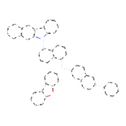 c1ccc(-c2ccc3cc(N(c4ccc5c(c4)oc4ccccc45)c4cccc5c(-n6c7ccccc7c7cc8ccccc8cc76)cccc45)ccc3c2)cc1